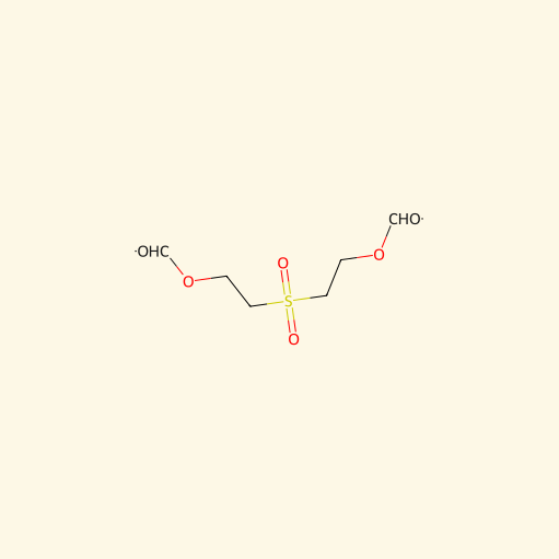 O=[C]OCCS(=O)(=O)CCO[C]=O